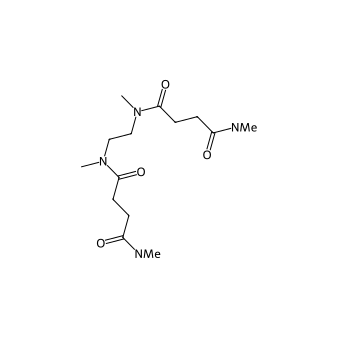 CNC(=O)CCC(=O)N(C)CCN(C)C(=O)CCC(=O)NC